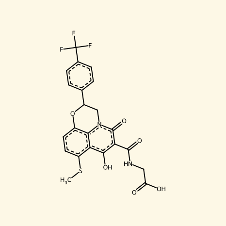 CSc1ccc2c3c1c(O)c(C(=O)NCC(=O)O)c(=O)n3CC(c1ccc(C(F)(F)F)cc1)O2